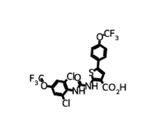 O=C(Nc1sc(-c2ccc(OC(F)(F)F)cc2)cc1C(=O)O)Nc1c(Cl)cc(OC(F)(F)F)cc1Cl